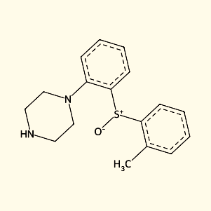 Cc1ccccc1[S+]([O-])c1ccccc1N1CCNCC1